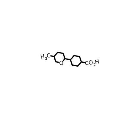 CC1CCC(C2CCC(C(=O)O)CC2)OC1